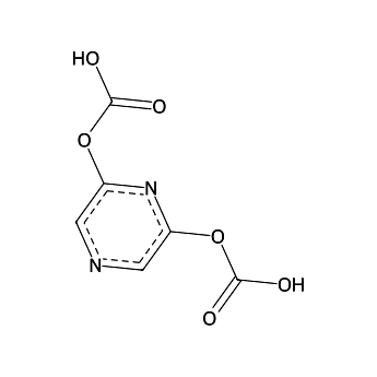 O=C(O)Oc1cncc(OC(=O)O)n1